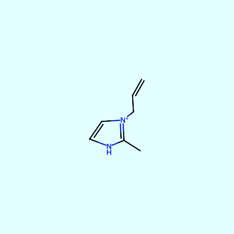 C=CC[n+]1cc[nH]c1C